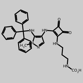 Cn1ncc(Nc2c(NCCCNC(=O)O)c(=O)c2=O)c1NC(c1ccccc1)(c1ccccc1)c1ccccc1